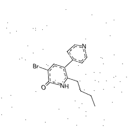 CCCCc1[nH]c(=O)c(Br)cc1-c1ccncc1